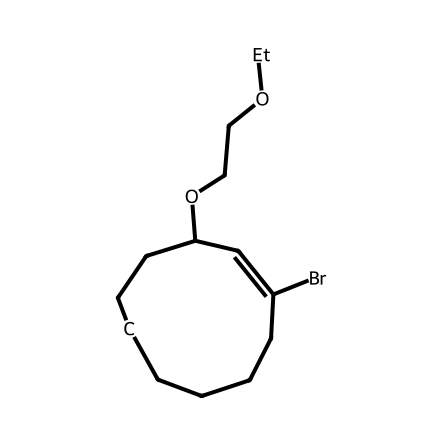 CCOCCOC1C=C(Br)CCCCCCC1